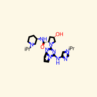 CC(C)N1CCC[C@@H](NC(=O)[C@@H]2C[C@H](O)CN2c2nc(Nc3cn(C(C)C)cn3)n3cccc3n2)C1